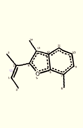 C/C=C(/C)c1oc2c(C)cccc2c1C